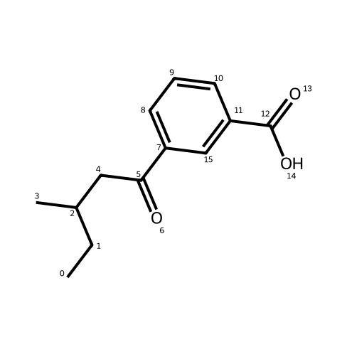 CCC(C)CC(=O)c1cccc(C(=O)O)c1